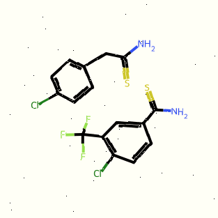 NC(=S)Cc1ccc(Cl)cc1.NC(=S)c1ccc(Cl)c(C(F)(F)F)c1